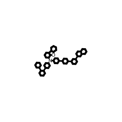 c1ccc(-c2ccccc2-c2ccc(N(c3ccc(-c4ccc(-c5cccc(-c6ccc7ccccc7c6)c5)cc4)cc3)c3cccc4c3oc3ccccc34)cc2)cc1